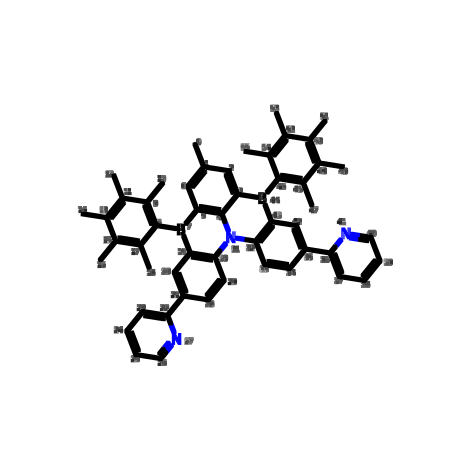 Cc1cc2c3c(c1)B(c1c(C)c(C)c(C)c(C)c1C)c1cc(-c4ccccn4)ccc1N3c1ccc(-c3ccccn3)cc1B2c1c(C)c(C)c(C)c(C)c1C